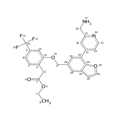 CCOC(=O)Cc1ccc(C(F)(F)F)cc1OCc1cc(-c2ccnc(CN)c2)c2occc2c1